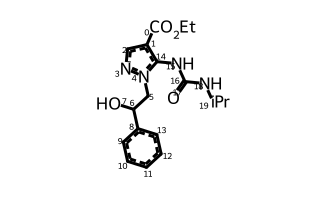 CCOC(=O)c1cnn(CC(O)c2ccccc2)c1NC(=O)NC(C)C